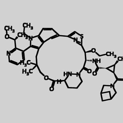 CCO[C@@H]1c2nc(cs2)-c2ccc3c(c2)c(c(-c2cccnc2[C@H](C)OC)n3CC)CC(C)(C)COC(=O)[C@@H]2CCCN(N2)C(=O)[C@H]1NC(=O)[C@@H]1[C@@H](C)[C@H]1C(=O)N1CC2CC(C2)C1